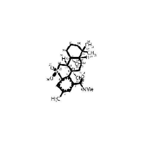 CNC(=O)c1cc(C)cc2c1[C@]1(C)CC[C@H]3C(C)(C)CCC[C@]3(C)[C@H]1CS2(=O)=O